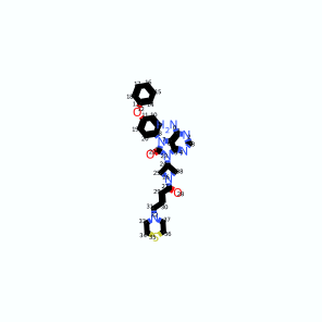 Nc1ncnc2c1n(-c1ccc(Oc3ccccc3)cc1)c(=O)n2C1CN(C(=O)/C=C/CN2CCSCC2)C1